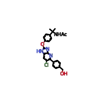 CC(=O)NC(C)(C)c1ccc(Oc2nc3nc(-c4ccc(CO)cc4)c(Cl)cc3[nH]2)cc1